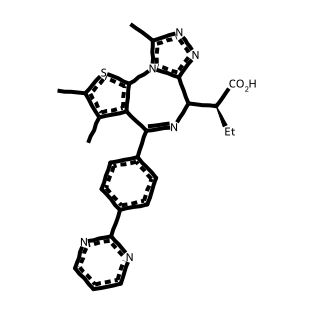 CC[C@H](C(=O)O)C1N=C(c2ccc(-c3ncccn3)cc2)c2c(sc(C)c2C)-n2c(C)nnc21